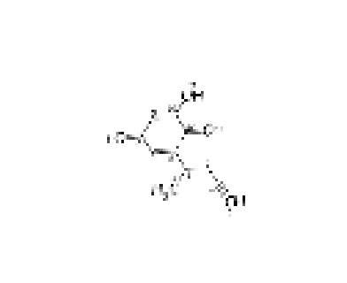 C#CCC(C)C1=CC(=O)C=C(O)C1=O